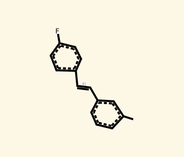 Cc1cccc(/C=C/c2ccc(F)cc2)c1